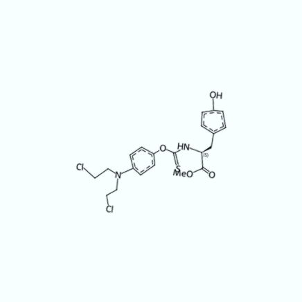 COC(=O)[C@H](Cc1ccc(O)cc1)NC(=S)Oc1ccc(N(CCCl)CCCl)cc1